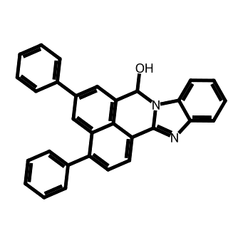 OC1c2cc(-c3ccccc3)cc3c(-c4ccccc4)ccc(c23)-c2nc3ccccc3n21